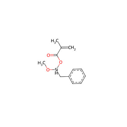 C=C(C)C(=O)O[SiH](Cc1ccccc1)OC